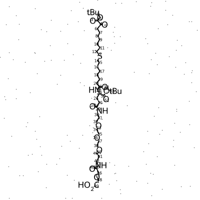 CC(C)(C)OC(=O)C(=O)CCCCCCCSCCCCCCCC(=O)NC(CCC(=O)NCCCOCCOCCOCCCNC(=O)COCC(=O)O)C(=O)OC(C)(C)C